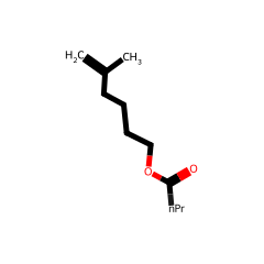 C=C(C)CCCCOC(=O)CCC